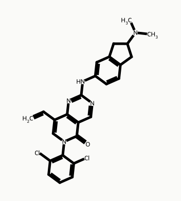 C=Cc1cn(-c2c(Cl)cccc2Cl)c(=O)c2cnc(Nc3ccc4c(c3)CC(N(C)C)C4)nc12